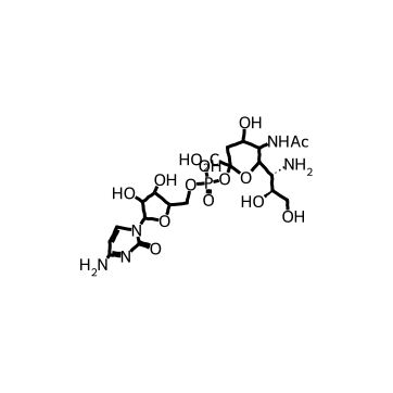 CC(=O)NC1C(O)CC(OP(=O)(O)OCC2OC(n3ccc(N)nc3=O)C(O)C2O)(C(=O)O)OC1[C@H](N)[C@H](O)CO